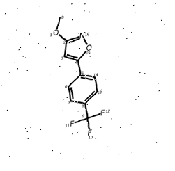 COc1cc(-c2ccc(C(F)(F)F)cc2)on1